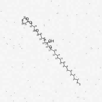 CCCCCCCCCCCCCCCCCCOCC(O)CSCCCOCCCOC1CCCCO1